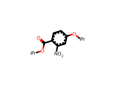 CC(C)OC(=O)c1ccc(OC(C)C)cc1[N+](=O)[O-]